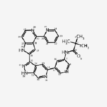 CC(C)(C)C(=O)Nc1cncc(-c2cc3c(-c4cc5c(-c6ccccn6)nccc5[nH]4)n[nH]c3cn2)c1